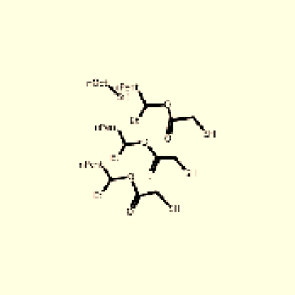 CCCCCC(CC)OC(=O)CS.CCCCCC(CC)OC(=O)CS.CCCCCC(CC)OC(=O)CS.CCCCCCC[CH2][Sn]